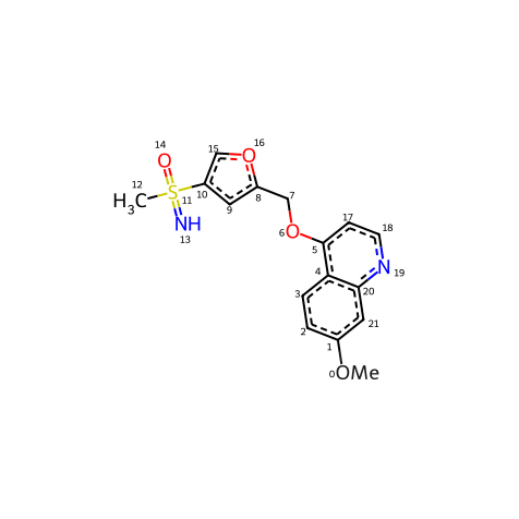 COc1ccc2c(OCc3cc(S(C)(=N)=O)co3)ccnc2c1